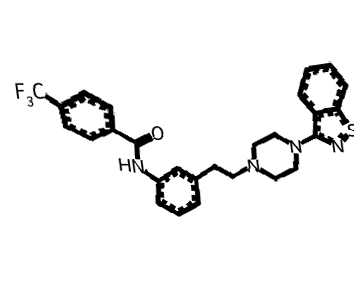 O=C(Nc1cccc(CCN2CCN(c3nsc4ccccc34)CC2)c1)c1ccc(C(F)(F)F)cc1